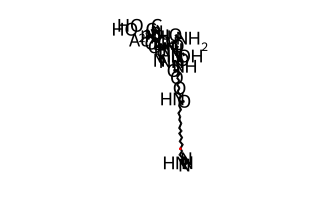 CCCC[C@H](NC(=O)[C@H](CN(CC(=O)O)CC(=O)O)NC(=O)[C@H](Cc1c[nH]cn1)NC(=O)[C@H](CCC(N)=O)NC(=O)[C@H](CO)NC(=O)CNC(=O)COCCOCCNC(=O)CCCCCCCCCCCCCCCc1nnn[nH]1)C(C)=O